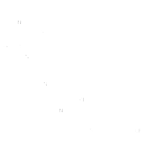 O=C(c1nccs1)N1CCN(C2CN(Cc3sc4cc(C(F)(F)F)ccc4c3Cl)C2)CC1